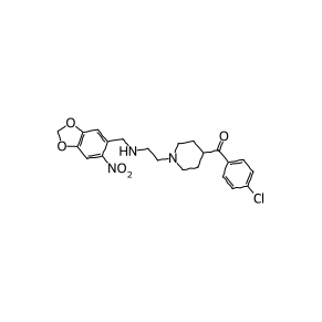 O=C(c1ccc(Cl)cc1)C1CCN(CCNCc2cc3c(cc2[N+](=O)[O-])OCO3)CC1